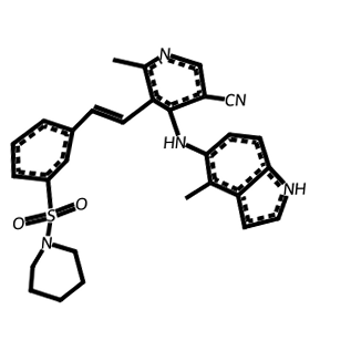 Cc1ncc(C#N)c(Nc2ccc3[nH]ccc3c2C)c1C=Cc1cccc(S(=O)(=O)N2CCCCC2)c1